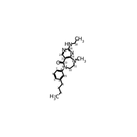 CCCCc1cccc(N2CCN(C)c3nc(NCC)ncc3C2=O)c1